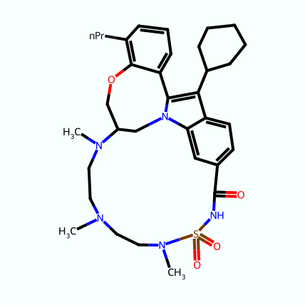 CCCc1cccc2c1OCC1Cn3c-2c(C2CCCCC2)c2ccc(cc23)C(=O)NS(=O)(=O)N(C)CCN(C)CCN1C